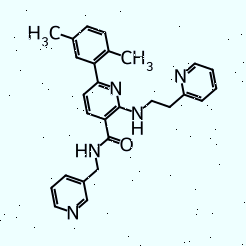 Cc1ccc(C)c(-c2ccc(C(=O)NCc3cccnc3)c(NCCc3ccccn3)n2)c1